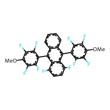 COc1c(F)c(F)c(-c2c3ccccc3c(-c3c(F)c(F)c(OC)c(F)c3F)c3c(F)ccc(F)c23)c(F)c1F